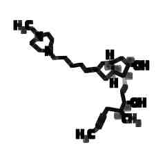 CC#CC[C@H](C)[C@H](O)C=C[C@@H]1[C@H]2CC(=CCCCCN3CCN(C)CC3)C[C@H]2C[C@H]1O